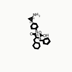 N[C@@H]1C[C@H]1c1ccc(NC(=O)C(CC2CCCCC2)N(Cc2ccccc2)C(=O)O)cc1